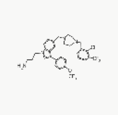 NCCCn1cc(-c2ccc(OC(F)(F)F)cc2)c2cc(CN3CCN(Cc4cccc(C(F)(F)F)c4Cl)CC3)ccc21